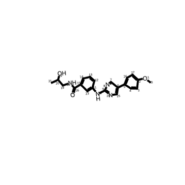 COc1ccc(-c2cnc(Nc3cccc(C(=O)NCC(C)O)c3)nc2)cc1